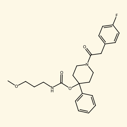 COCCCNC(=O)OC1(c2ccccc2)CCN(C(=O)Cc2ccc(F)cc2)CC1